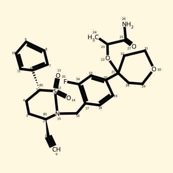 C#C[C@H]1CC[C@H](c2ccccc2)S(=O)(=O)N1Cc1ccc(C2(OC(C)C(N)=O)CCOCC2)cc1F